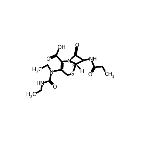 CCNC(=O)N(CC)C1=C(C(=O)O)N2C(=O)C(NC(=O)CC)[C@@H]2SC1